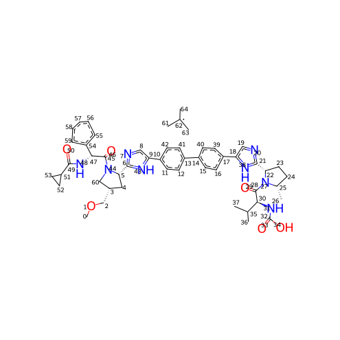 COC[C@H]1C[C@@H](c2ncc(-c3ccc(-c4ccc(-c5cnc([C@@H]6CC[C@H](C)N6C(=O)[C@@H](NC(=O)O)C(C)C)[nH]5)cc4)cc3)[nH]2)N(C(=O)[C@H](NC(=O)C2CC2)c2ccccc2)C1.C[C](C)C